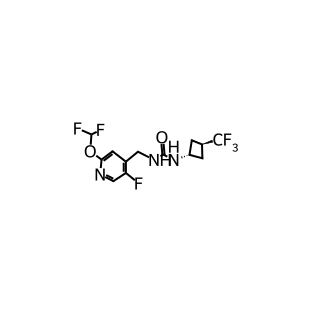 O=C(NCc1cc(OC(F)F)ncc1F)N[C@H]1C[C@H](C(F)(F)F)C1